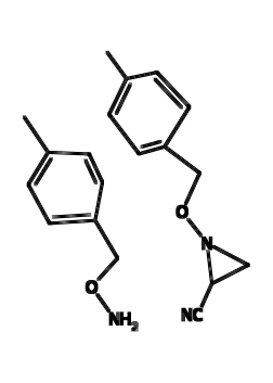 Cc1ccc(CON)cc1.Cc1ccc(CON2CC2C#N)cc1